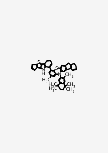 Cc1cc(C2=CCCc3c2[nH]c2c4c(sc32)C=C=C4)c2c(c1)N(c1cc3c(cc1C)C(C)(C)CCC3(C)C)c1cc3c(cc1S2)CC1=C3C=CCC1